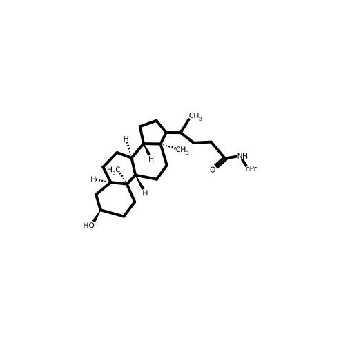 CCCNC(=O)CCC(C)C1CC[C@H]2[C@@H]3CC[C@@H]4C[C@H](O)CC[C@]4(C)[C@H]3CC[C@]12C